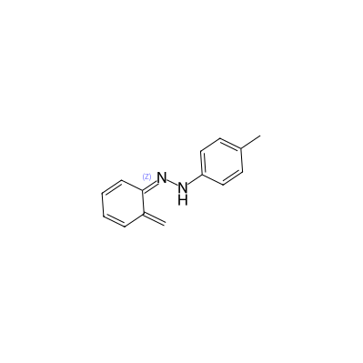 C=C1C=CC=C/C1=N/Nc1ccc(C)cc1